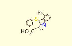 CC(C)c1cccc2c1c(Sc1ccccc1)c1n2CCC1CC(=O)O